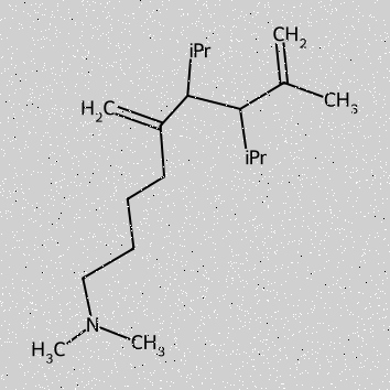 C=C(C)C(C(C)C)C(C(=C)CCCCN(C)C)C(C)C